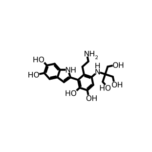 NCCc1c(NC(CO)(CO)CO)cc(O)c(O)c1-c1cc2cc(O)c(O)cc2[nH]1